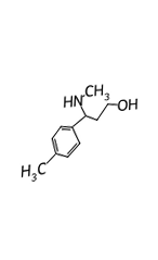 CNC(CCO)c1ccc(C)cc1